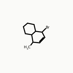 CC1C=CC(Br)C2CCCCC12